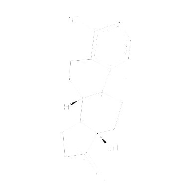 C[C@]12CC[C@@H]3c4cccc(C#N)c4CC[C@H]3[C@@H]1CCC2=O